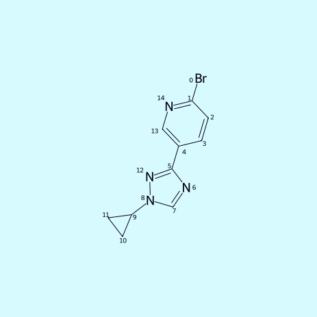 Brc1ccc(-c2ncn(C3CC3)n2)cn1